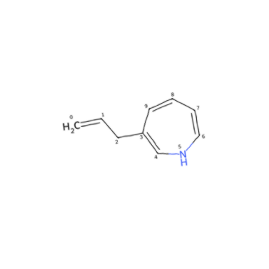 C=CCC1=CNC=CC=C1